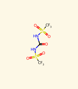 O=C(NS(=O)(=O)C(F)(F)F)NS(=O)(=O)C(F)(F)F